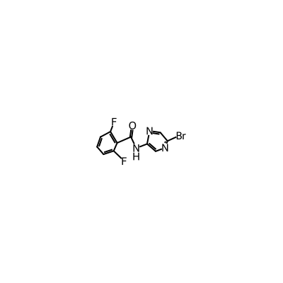 O=C(Nc1cnc(Br)cn1)c1c(F)cccc1F